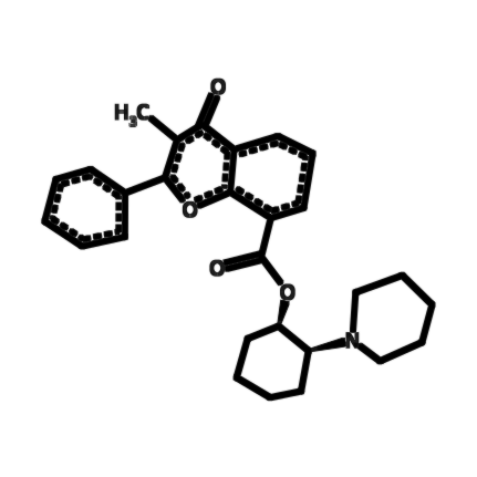 Cc1c(-c2ccccc2)oc2c(C(=O)O[C@@H]3CCCC[C@@H]3N3CCCCC3)cccc2c1=O